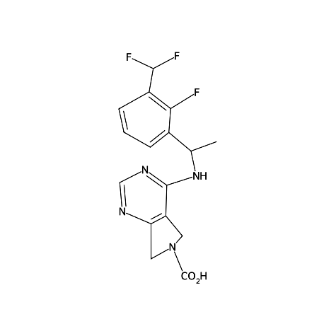 CC(Nc1ncnc2c1CN(C(=O)O)C2)c1cccc(C(F)F)c1F